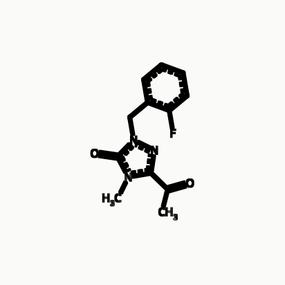 CC(=O)c1nn(Cc2ccccc2F)c(=O)n1C